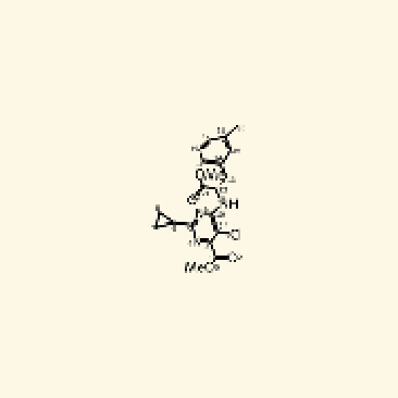 COC(=O)c1nc(C2CC2)nc(N[C@@H](Cc2cccc(C)c2)C(=O)OC)c1Cl